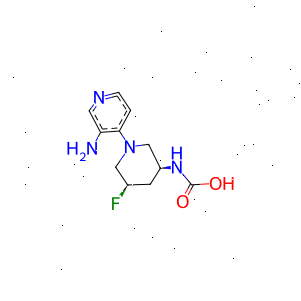 Nc1cnccc1N1C[C@H](F)C[C@H](NC(=O)O)C1